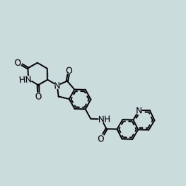 O=C1CCC(N2Cc3cc(CNC(=O)c4ccc5cccnc5c4)ccc3C2=O)C(=O)N1